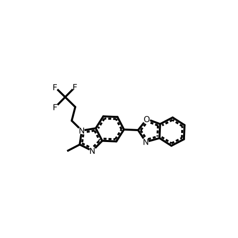 Cc1nc2cc(-c3nc4ccccc4o3)ccc2n1CCC(F)(F)F